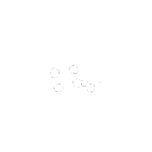 Cc1ccc2[n+](c1)C1(c3ccc4c(oc5c6c(ccc54)CC=C6)c3-2)C2c3ccccc3-c3cccc[n+]3C21